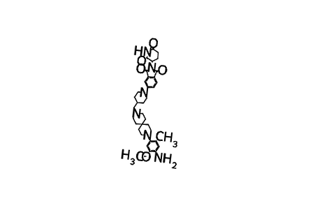 COc1cc(N2CCC3(CCN(CC4CCN(c5ccc6c(c5)C(=O)N(C5CCC(=O)NC5=O)C6=O)CC4)CC3)CC2)c(C)cc1N